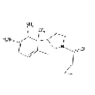 CC1=CC=C(N)C(N)C1(C1CCN(C(=O)C2CC2)C1)C(F)(F)F